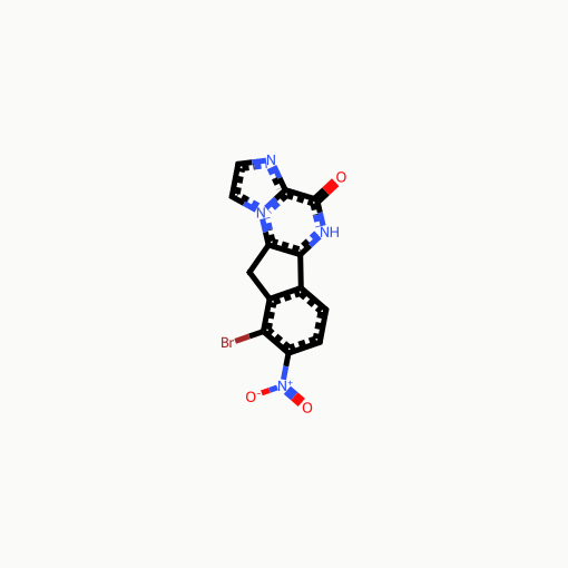 O=c1[nH]c2c(n3ccnc13)Cc1c-2ccc([N+](=O)[O-])c1Br